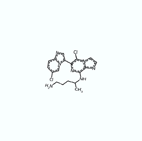 CC(CCCN)Nc1nc(-c2cnc3ccc(Cl)cn23)c(Cl)n2ccnc12